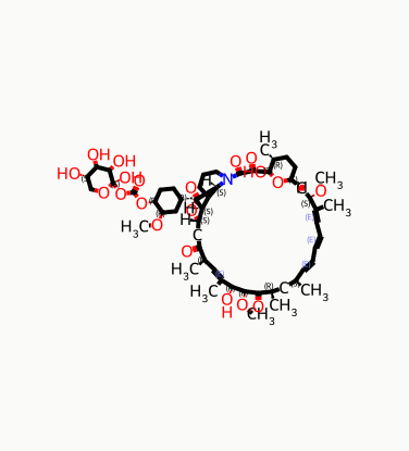 CO[C@H]1C[C@@H]2CC[C@@H](C)[C@@](O)(O2)C(=O)C(=O)N2CCCC3[C@H]2C(=O)O[C@@H](CC(=O)[C@H](C)/C=C(\C)[C@@H](O)[C@@H](OC)C(=O)[C@H](C)C[C@H](C)/C=C/C=C/C=C/1C)[C@H]3C[C@H]1CC[C@@H](OC(=O)O[C@@]2(O)OC[C@H](O)C(O)C2O)[C@H](OC)C1